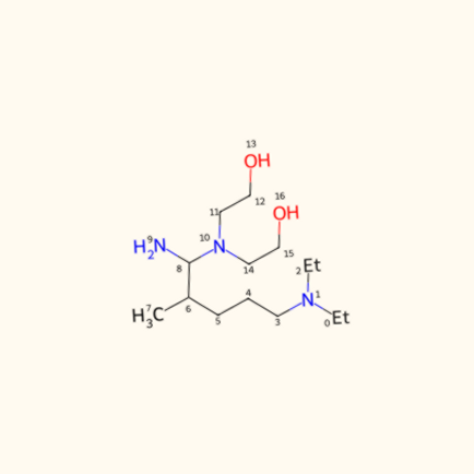 CCN(CC)CCCC(C)C(N)N(CCO)CCO